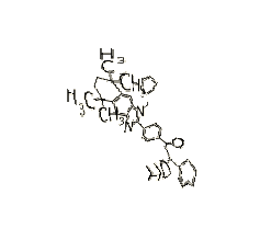 CC1(C)CCC(C)(C)c2cc3c(cc21)nc(-c1ccc(C(=O)C(O)c2ccccc2)cc1)n3Cc1ccccc1